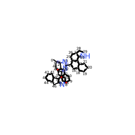 C\C1=C(c2ccc3ccccc3c2)/N=C(c2cc3ccccc3c3c2ccc2cc[nH]c23)\N=C(\c2ccnc3c2-c2ccccc2C3)CC1